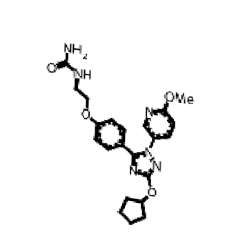 COc1ccc(-n2nc(OC3CCCC3)nc2-c2ccc(OCCNC(N)=O)cc2)cn1